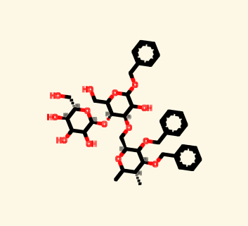 CC1O[C@@H](CO[C@@H]2C(O)C(OCc3ccccc3)OC(CO)[C@H]2O[C@@H]2O[C@@H](CO)[C@H](O)C(O)C2O)C(OCc2ccccc2)[C@@H](OCc2ccccc2)[C@@H]1C